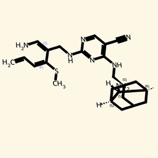 C=C/C=C(SC)\C(=C/N)CNc1ncc(C#N)c(NC[C@]23CC4C[C@H](C2)[C@@H](N)[C@@H](C4)C3)n1